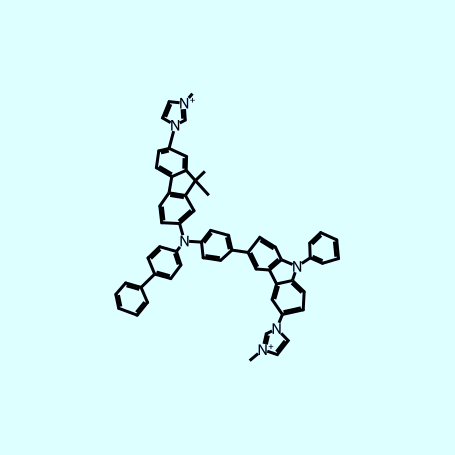 C[n+]1ccn(-c2ccc3c(c2)C(C)(C)c2cc(N(c4ccc(-c5ccccc5)cc4)c4ccc(-c5ccc6c(c5)c5cc(-n7cc[n+](C)c7)ccc5n6-c5ccccc5)cc4)ccc2-3)c1